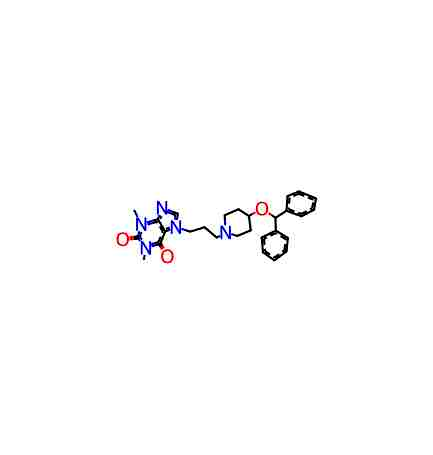 Cn1c(=O)c2c(ncn2CCCN2CCC(OC(c3ccccc3)c3ccccc3)CC2)n(C)c1=O